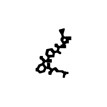 CC(C(=O)Nc1cc(C2CC2)[nH]n1)c1cccc(NC(=O)C2COCCC2NC(=O)/C=C/CN(C)C)c1